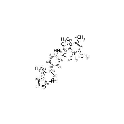 Cc1cc(C)c(C)c(S(=O)(=O)Nc2ccc(N3C=Nc4occc4C3N)cc2)c1C